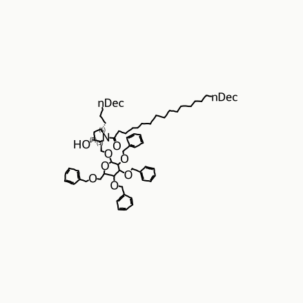 CCCCCCCCCCCCCCCCCCCCCCCCCC(=O)N1[C@@H](CCCCCCCCCCCCC)C[C@@H](O)[C@@H]1COC1OC(COCc2ccccc2)C(OCc2ccccc2)C(OCc2ccccc2)C1OCc1ccccc1